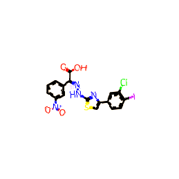 O=C(O)/C(=N/Nc1nc(-c2ccc(I)c(Cl)c2)cs1)c1cccc([N+](=O)[O-])c1